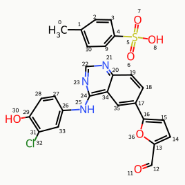 Cc1ccc(S(=O)(=O)O)cc1.O=Cc1ccc(-c2ccc3ncnc(Nc4ccc(O)c(Cl)c4)c3c2)o1